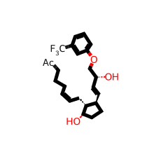 CC(=O)CCC/C=C\C[C@H]1[C@@H](O)CC[C@@H]1/C=C/[C@@H](O)COc1cccc(C(F)(F)F)c1